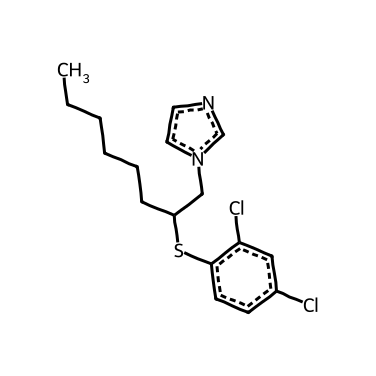 CCCCCCC(Cn1ccnc1)Sc1ccc(Cl)cc1Cl